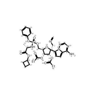 C=NC[C@@]1(c2ccc3c(N)ncnn23)O[C@H](COP(=O)(N[C@@H](C)C(=O)OC2CCC2)Oc2ccccc2)[C@@H](OC(=O)CC)[C@H]1OC(=O)CC